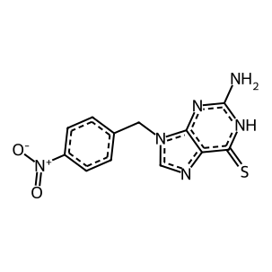 Nc1nc2c(ncn2Cc2ccc([N+](=O)[O-])cc2)c(=S)[nH]1